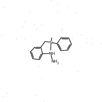 C[Si](C)(Cc1ccccc1NN)c1ccccc1